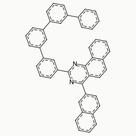 c1ccc(-c2cccc(-c3cccc(-c4cccc(-c5nc(-c6ccc7ccccc7c6)c6ccc7ccccc7c6n5)c4)c3)c2)cc1